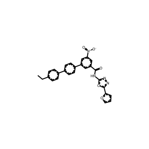 CCc1ccc(-c2ccc(-c3cc(C(=O)Nc4nnc(-c5ccco5)o4)cc([N+](=O)[O-])c3)cc2)cc1